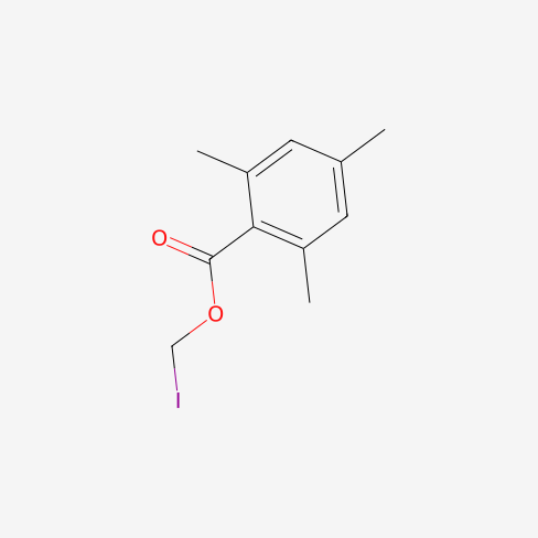 Cc1cc(C)c(C(=O)OCI)c(C)c1